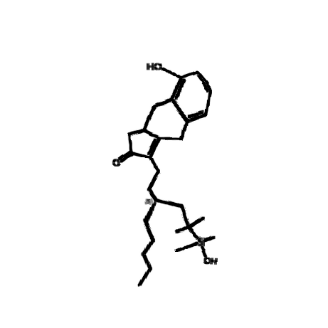 CCCCC[C@@H](CCC1=C2Cc3cccc(O)c3CC2CC1=O)CC(C)(C)[Si](C)(C)O